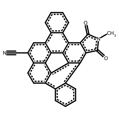 Cn1c(=O)c2c(c1=O)c1c3ccccc3c3cc(C#N)c4ccc5c6ccccc6c2c2c5c4c3c12